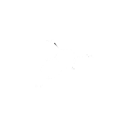 Cc1ccc2c(c1)N=C(N)C[C@@H]2C